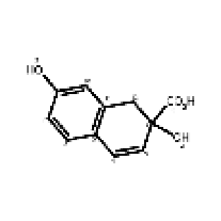 O=C(O)C1(O)C=Cc2ccc(O)cc2C1